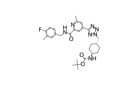 Cc1cc(-c2nnn(C[C@H]3CC[C@H](NC(=O)OC(C)(C)C)CC3)n2)cc(C(=O)NCc2ccc(F)c(C)c2)n1